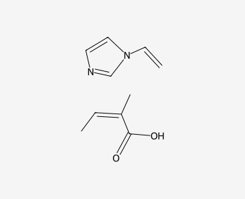 C=Cn1ccnc1.CC=C(C)C(=O)O